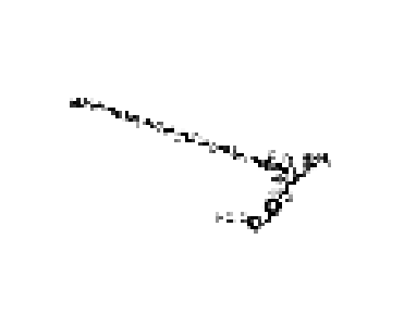 CC(C)C(NC(=O)CCOCCOCCOCCOCCOCCOCCOCCOCCOCCN=[N+]=[N-])C(=O)NC(CCCNC(N)=O)C(=O)Nc1ccc(Cn2ccc(C(=O)O)c2)cc1